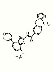 COc1ccc(N2CCOCC2)c2sc(NC(=O)c3ccnc(Cn4ccnc4C)c3)nc12